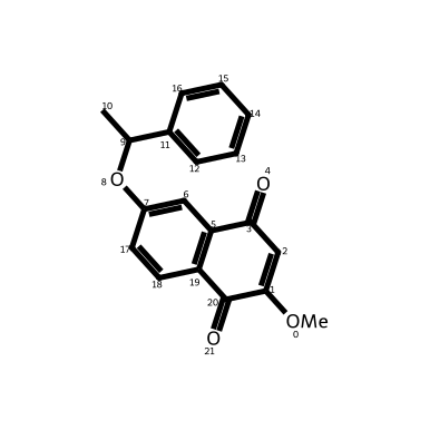 COC1=CC(=O)c2cc(OC(C)c3ccccc3)ccc2C1=O